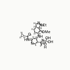 C=C(NC(O)(O)O)c1cnc(NC(=O)C2CC2)cc1Nc1ccc2cnn(CC)c2c1OC